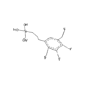 O[Si](O)(O)CCc1cc(F)c(F)c(F)c1F